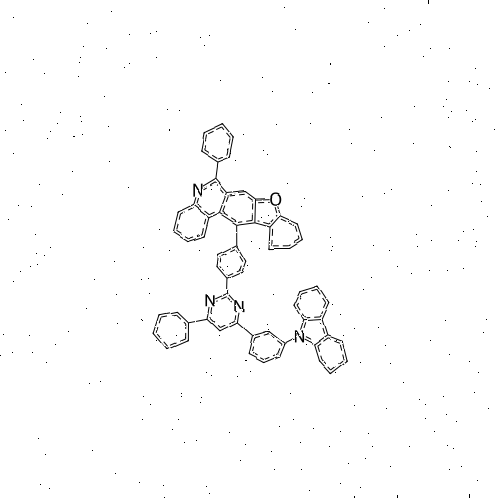 c1ccc(-c2cc(-c3cccc(-n4c5ccccc5c5ccccc54)c3)nc(-c3ccc(-c4c5c(cc6c(-c7ccccc7)nc7ccccc7c46)oc4ccccc45)cc3)n2)cc1